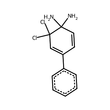 NC1(N)C=CC(c2ccccc2)=CC1(Cl)Cl